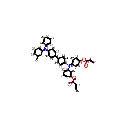 C=CC(=O)Oc1ccc(N(c2ccc(-c3ccc(N(c4ccccc4)c4cccc(C)c4)cc3)cc2)c2cccc(OC(=O)C=C)c2)cc1